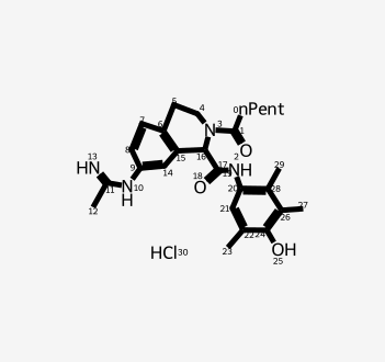 CCCCCC(=O)N1CCc2ccc(NC(C)=N)cc2C1C(=O)Nc1cc(C)c(O)c(C)c1C.Cl